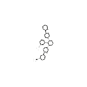 N#Cc1cccc(-c2c(-c3ccc4c(c3)oc3ccc(C#N)cc34)cccc2-c2ccc3c(c2)sc2ccccc23)c1